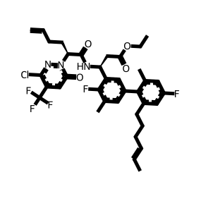 C=CCC[C@@H](C(=O)N[C@@H](CC(=O)OCC)c1cc(-c2c(C)cc(F)cc2CCCC=CC)cc(C)c1F)n1nc(Cl)c(C(F)(F)F)cc1=O